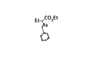 CCOC(=O)C(CC)/[As]=C/c1ccccc1